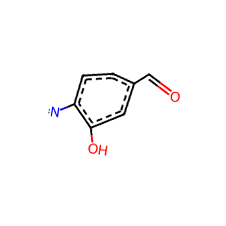 [N]c1ccc(C=O)cc1O